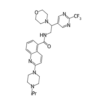 CC(C)N1CCN(c2ccc3c(C(=O)NCC(c4cnc(C(F)(F)F)nc4)N4CCOCC4)cccc3n2)CC1